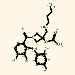 CCCCNCC1(OC(C)=O)CN(C(=O)c2ccc(F)c(F)c2Nc2ccc(I)cc2F)C1